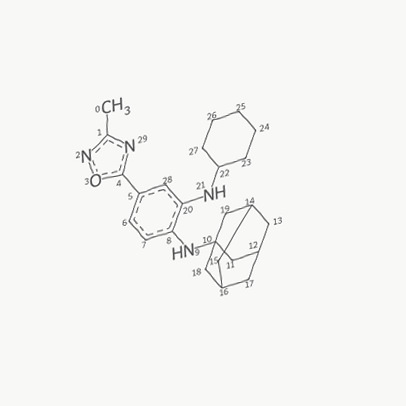 Cc1noc(-c2ccc(NC34CC5CC(CC(C5)C3)C4)c(NC3CCCCC3)c2)n1